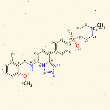 COc1cccc(F)c1CNc1ccc(-c2ccc(S(=O)(=O)C3CCN(C)CC3)cc2)c2nncn12